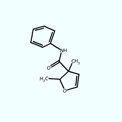 CC1OC=CC1(C)C(=O)Nc1ccccc1